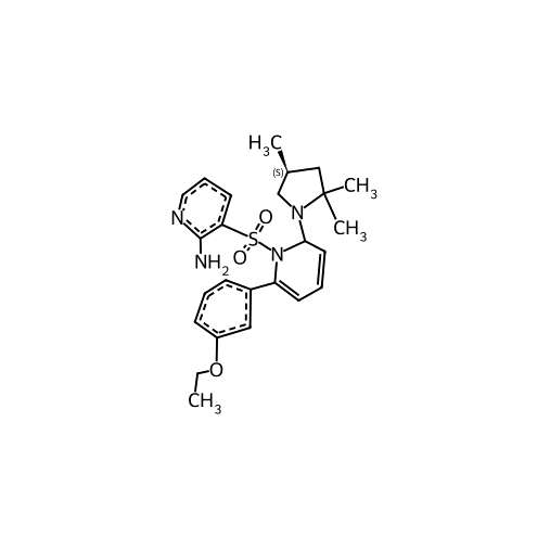 CCOc1cccc(C2=CC=CC(N3C[C@@H](C)CC3(C)C)N2S(=O)(=O)c2cccnc2N)c1